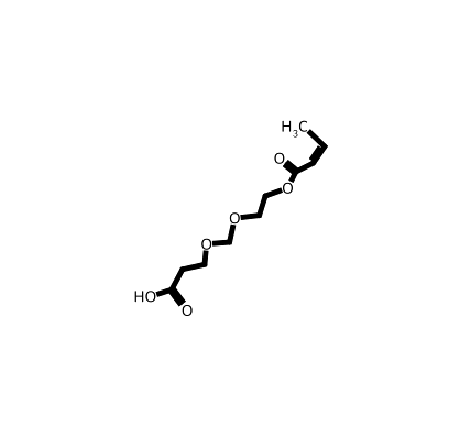 C/C=C\C(=O)OCCOCOCCC(=O)O